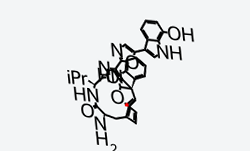 CC(C)[C@@H]1NC(=O)[C@@H](N)Cc2ccc3c(c2)[C@@]2(c4ccccc4NC2O3)c2oc1nc2-c1ncc(-c2c[nH]c3c(O)cccc23)o1